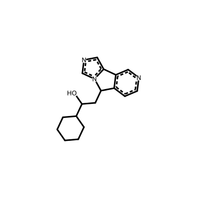 OC(CC1c2ccncc2-c2cncn21)C1CCCCC1